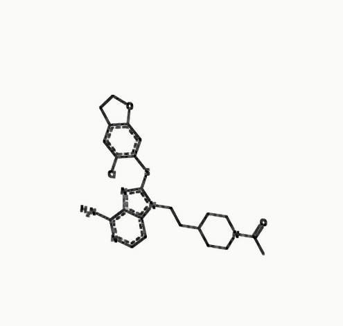 CC(=O)N1CCC(CCn2c(Sc3cc4c(cc3Cl)CCO4)nc3c(N)nccc32)CC1